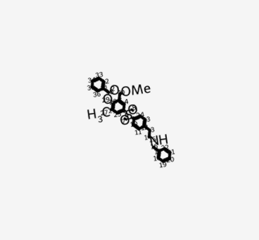 COC(=O)c1cc(S(=O)(=O)c2ccc(CCNCc3ccccc3)cc2)cc(C)c1OCc1ccccc1